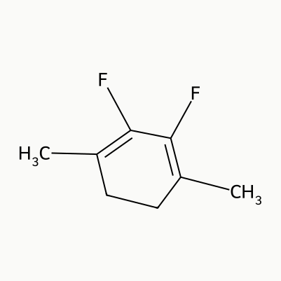 CC1=C(F)C(F)=C(C)CC1